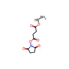 BBOC(=O)CCC(=O)ON1C(=O)CCC1=O